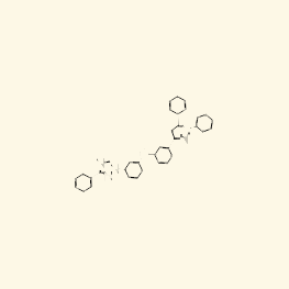 c1ccc(-c2ncn(-c3cccc(Oc4cccc(-c5cc(-c6ccccc6)n(-c6ccccc6)n5)c4)c3)n2)cc1